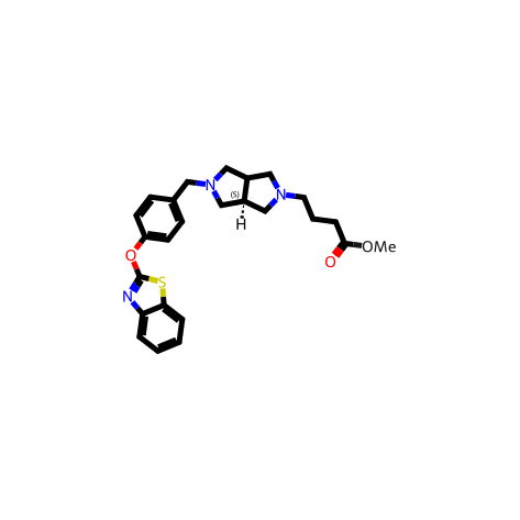 COC(=O)CCCN1CC2CN(Cc3ccc(Oc4nc5ccccc5s4)cc3)C[C@@H]2C1